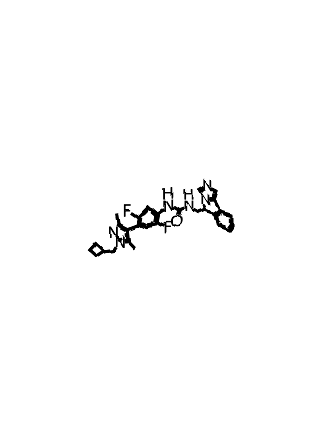 Cc1nn(CC2CCC2)c(C)c1-c1cc(F)c(NC(=O)NCC2c3ccccc3-c3cncn32)cc1F